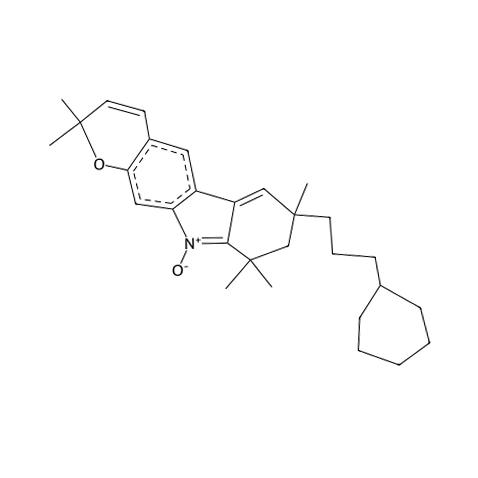 CC1(CCCC2CCCCC2)C=C2C(=[N+]([O-])c3cc4c(cc32)C=CC(C)(C)O4)C(C)(C)C1